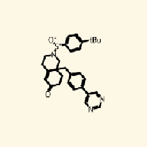 CC(C)(C)c1ccc([S+]([O-])N2CCC3=CC(=O)CCC3(Cc3ccc(-c4cncnc4)cc3)C2)cc1